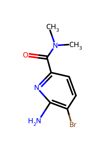 CN(C)C(=O)c1ccc(Br)c(N)n1